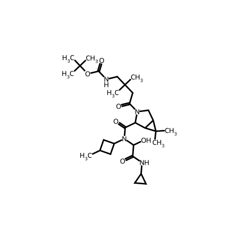 CC1CC(N(C(=O)C2C3C(CN2C(=O)CC(C)(C)CNC(=O)OC(C)(C)C)C3(C)C)C(O)C(=O)NC2CC2)C1